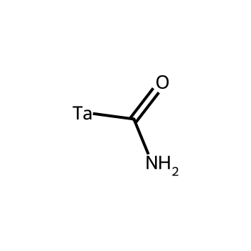 N[C](=O)[Ta]